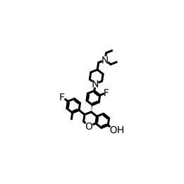 CCN(CC)CC1CCN(c2ccc([C@@H]3c4ccc(O)cc4OCC3c3ccc(F)cc3C)cc2F)CC1